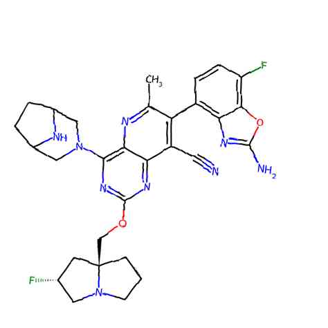 Cc1nc2c(N3CC4CCC(C3)N4)nc(OC[C@@]34CCCN3C[C@H](F)C4)nc2c(C#N)c1-c1ccc(F)c2oc(N)nc12